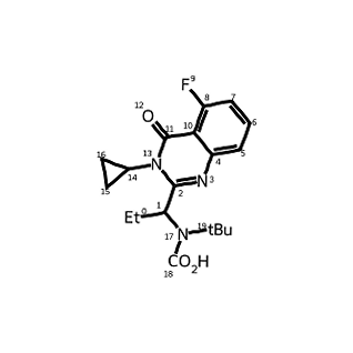 CCC(c1nc2cccc(F)c2c(=O)n1C1CC1)N(C(=O)O)C(C)(C)C